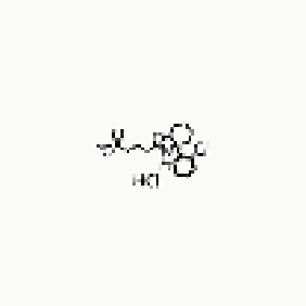 COC(=O)CCCCN[C@]1(c2ccccc2Cl)CCCCC1=O.Cl